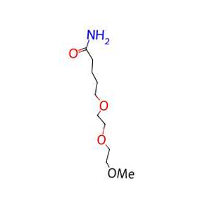 COCCOCCOCCCCC(N)=O